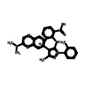 Cc1ccccc1-n1nc(C)c(-c2ccc3ncc(N(C)C)nc3c2)c1Nc1c(C)cccc1C(=O)O